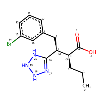 CCC[C@H](C(=O)O)[C@H](Cc1cccc(Br)c1)C1=NNNN1